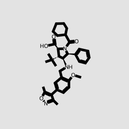 COc1ccc(-c2c(C)noc2C)cc1CN[C@H]1[C@H](C(C)(C)C)[C@@H](C(=O)O)N(C(=O)C2CCCCC2)[C@H]1c1ccccc1